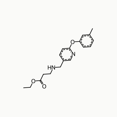 CCOC(=O)CCNCc1ccc(Oc2cccc(C)c2)nc1